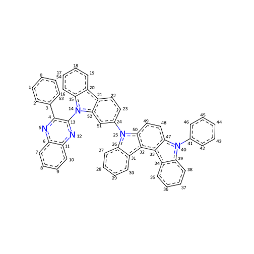 c1ccc(-c2nc3ccccc3nc2-n2c3ccccc3c3ccc(-n4c5ccccc5c5c6c7ccccc7n(-c7ccccc7)c6ccc54)cc32)cc1